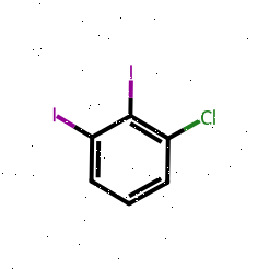 Clc1cccc(I)c1I